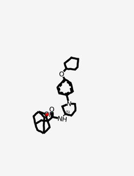 O=C(N[C@H]1CCCN(c2ccc(OC3CCCCC3)cc2)C1)C12CC3CC(C1)C(O)C(C3)C2